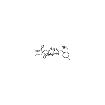 COC(=O)C1(Cc2ccc3nc([C@@H](N)C4CCC(C)CC4)cn3n2)C[C@@H](C)NC1=O